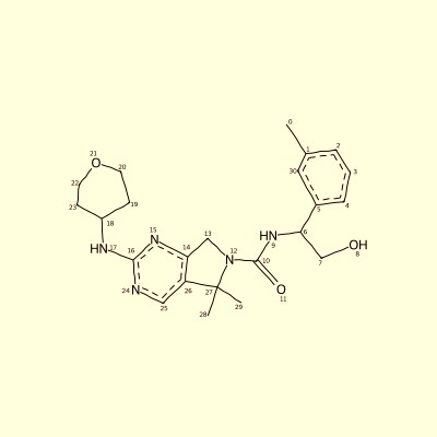 Cc1cccc(C(CO)NC(=O)N2Cc3nc(NC4CCOCC4)ncc3C2(C)C)c1